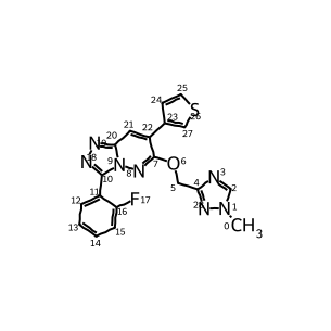 Cn1cnc(COc2nn3c(-c4ccccc4F)nnc3cc2-c2ccsc2)n1